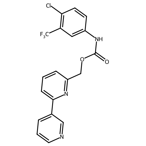 O=C(Nc1ccc(Cl)c(C(F)(F)F)c1)OCc1cccc(-c2cccnc2)n1